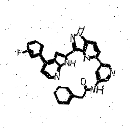 O=C(CC1CCCCC1)Nc1cncc(-c2ccc3[nH]nc(-c4cc5c(-c6cccc(F)c6)ccnc5[nH]4)c3n2)c1